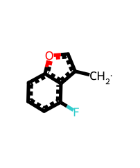 [CH2]c1coc2cccc(F)c12